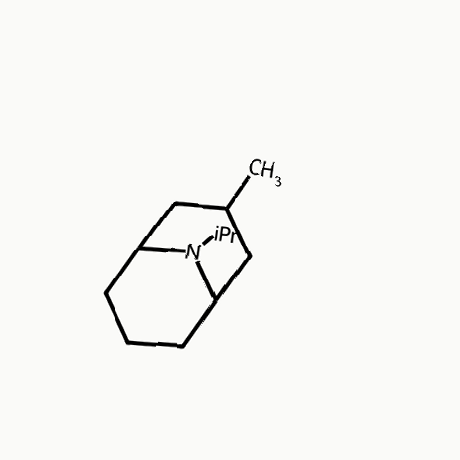 CC1CC2CCCC(C1)N2C(C)C